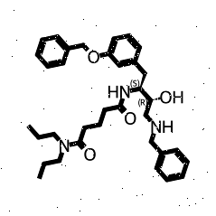 CCCN(CCC)C(=O)CCCC(=O)N[C@@H](Cc1cccc(OCc2ccccc2)c1)[C@H](O)CNCc1ccccc1